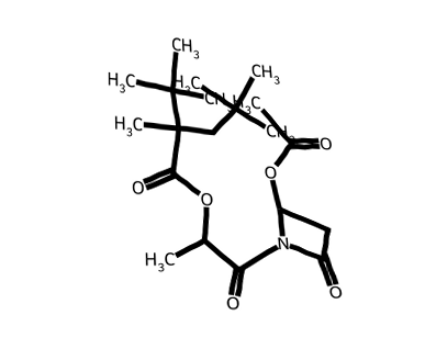 CC(=O)OC1CC(=O)N1C(=O)C(C)OC(=O)C(C)(CC(C)(C)C)C(C)(C)C